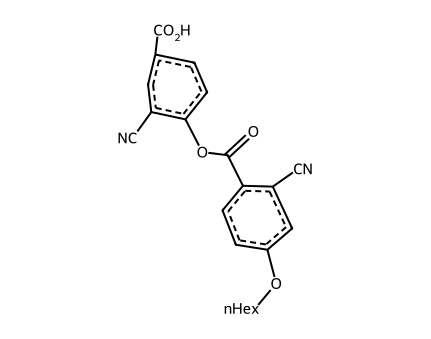 CCCCCCOc1ccc(C(=O)Oc2ccc(C(=O)O)cc2C#N)c(C#N)c1